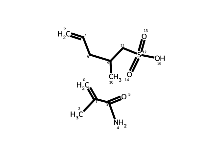 C=C(C)C(N)=O.C=CCC(C)CS(=O)(=O)O